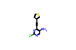 Nc1cnc(Cl)nc1C#Cc1ccsc1